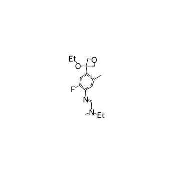 CCOC1(c2cc(F)c(N=CN(C)CC)cc2C)COC1